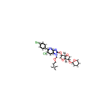 C[Si](C)(C)CCOCn1c(O[C@@H]2CO[C@H]3[C@@H]2OC[C@H]3OC2CCCCO2)nc2nc(-c3ccc(Br)cc3)c(Cl)cc21